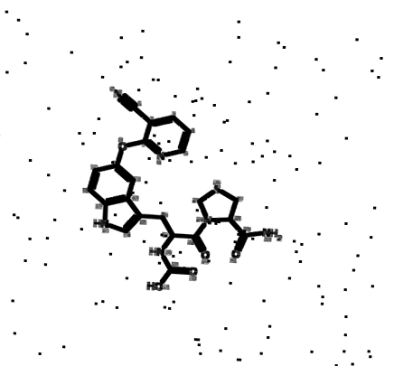 N#Cc1cccnc1Oc1ccc2[nH]cc(CC(NC(=O)O)C(=O)N3CSCC3C(N)=O)c2c1